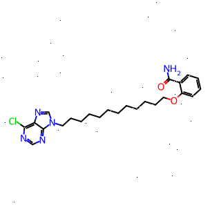 NC(=O)c1ccccc1OCCCCCCCCCCCCn1cnc2c(Cl)ncnc21